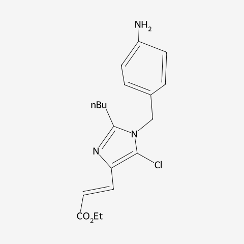 CCCCc1nc(C=CC(=O)OCC)c(Cl)n1Cc1ccc(N)cc1